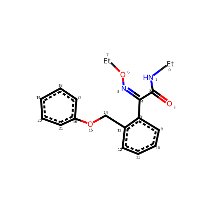 CCNC(=O)/C(=N\OCC)c1ccccc1COc1ccccc1